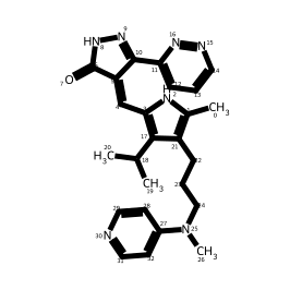 Cc1[nH]c(/C=C2/C(=O)NN=C2c2cccnn2)c(C(C)C)c1CCCN(C)c1ccncc1